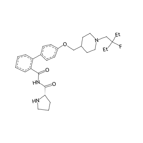 CCC(F)(CC)CN1CCC(COc2ccc(-c3ccccc3C(=O)NC(=O)[C@@H]3CCCN3)cc2)CC1